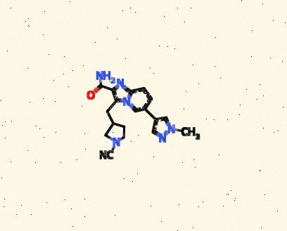 Cn1cc(-c2ccc3nc(C(N)=O)c(CC4CCN(C#N)C4)n3c2)cn1